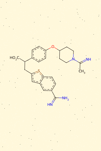 CC(=N)N1CCC(Oc2ccc(C(Cc3cc4cc(C(=N)N)ccc4s3)C(=O)O)cc2)CC1